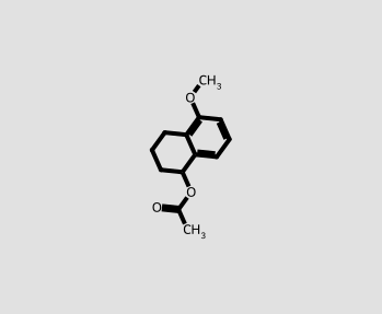 COc1cccc2c1CCCC2OC(C)=O